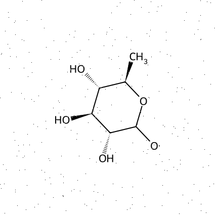 C[C@H]1OC([O])[C@H](O)[C@@H](O)[C@@H]1O